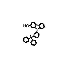 CC(c1ccccc1)(c1ccccc1)c1cccc(-n2c3ccccc3c3ccc(O)cc32)c1